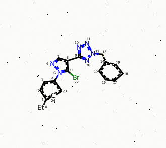 CCc1ccc(-n2ncc(-c3nnn(Cc4ccccc4)n3)c2Br)cc1